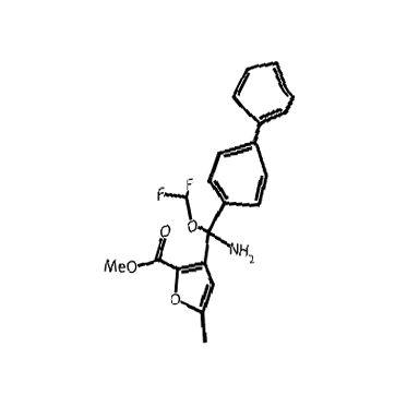 COC(=O)c1oc(C)cc1C(N)(OC(F)F)c1ccc(-c2ccccc2)cc1